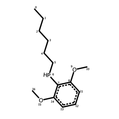 CCCCCCPc1c(OC)cccc1OC